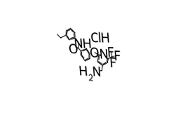 CCc1cccc(NC(=O)c2cccc(Oc3cc(CN)cc(C(F)(F)F)n3)c2)c1.Cl